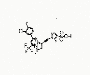 O=S(=O)(O)c1cnc(C#Cc2cnn3c(C(F)(F)F)cc(-c4ccc(Cl)c(Cl)c4)nc23)s1